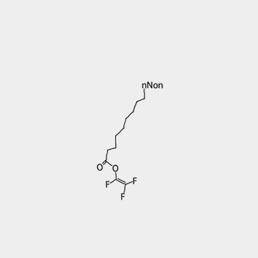 CCCCCCCCCCCCCCCCCC(=O)OC(F)=C(F)F